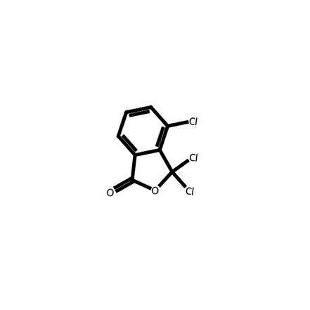 O=C1OC(Cl)(Cl)c2c(Cl)cccc21